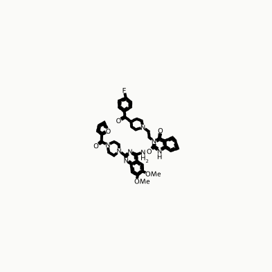 COc1cc2nc(N3CCN(C(=O)c4ccco4)CC3)nc(N)c2cc1OC.O=C(c1ccc(F)cc1)C1CCN(CCn2c(=O)[nH]c3ccccc3c2=O)CC1